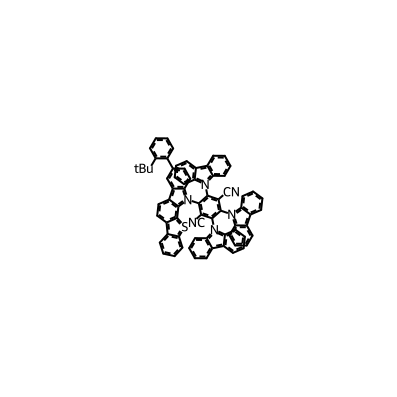 CC(C)(C)c1ccccc1-c1ccc2c(c1)c1ccc3c4ccccc4sc3c1n2-c1c(C#N)c(-n2c3ccccc3c3ccccc32)c(-n2c3ccccc3c3ccccc32)c(C#N)c1-n1c2ccccc2c2ccccc21